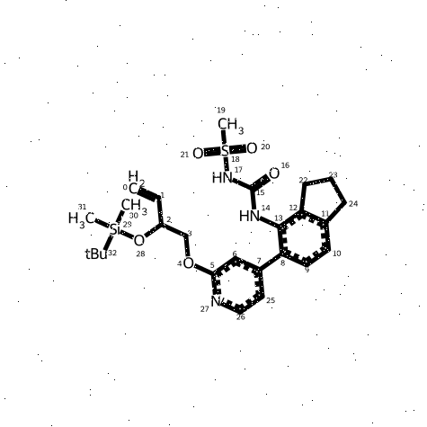 C=CC(COc1cc(-c2ccc3c(c2NC(=O)NS(C)(=O)=O)CCC3)ccn1)O[Si](C)(C)C(C)(C)C